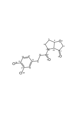 O=C1COC2CCN(C(=O)[CH]Cc3ccc(Cl)c(Cl)c3)C12